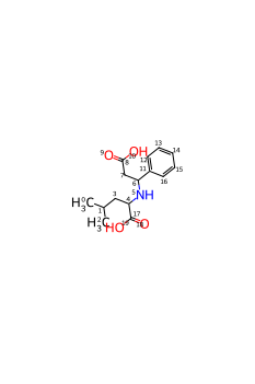 CC(C)CC(NC(CC(=O)O)c1ccccc1)C(=O)O